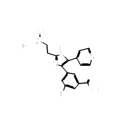 CN(C)CCc1nc(-c2cc(F)cc(C(=O)O)c2)c(-c2ccncc2)[nH]1